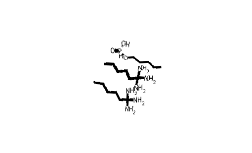 CCCCCC(N)(N)N.CCCCCC(N)(N)N.CCCCCO[PH](=O)O